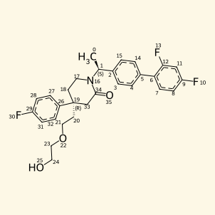 C[C@@H](c1ccc(-c2ccc(F)cc2F)cc1)N1CC[C@](CCOCCO)(c2ccc(F)cc2)CC1=O